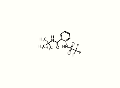 CC(C)(C)NC(=O)c1ccccc1NS(=O)(=O)C(F)(F)F